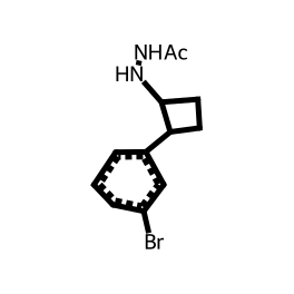 CC(=O)NNC1CCC1c1cccc(Br)c1